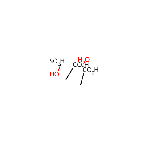 CC(=O)O.CC(=O)O.O.O=S(=O)(O)O